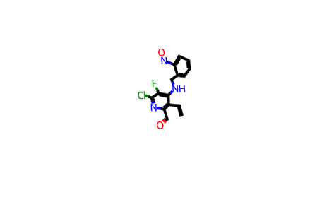 C=Cc1c(C=O)nc(Cl)c(F)c1NCc1ccccc1N=O